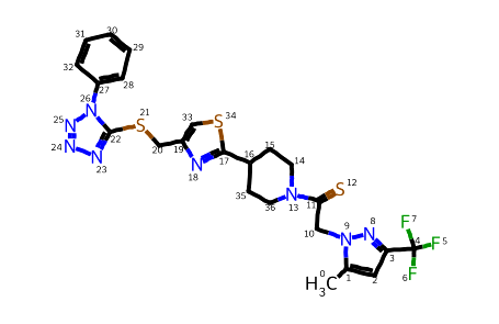 Cc1cc(C(F)(F)F)nn1CC(=S)N1CCC(c2nc(CSc3nnnn3-c3ccccc3)cs2)CC1